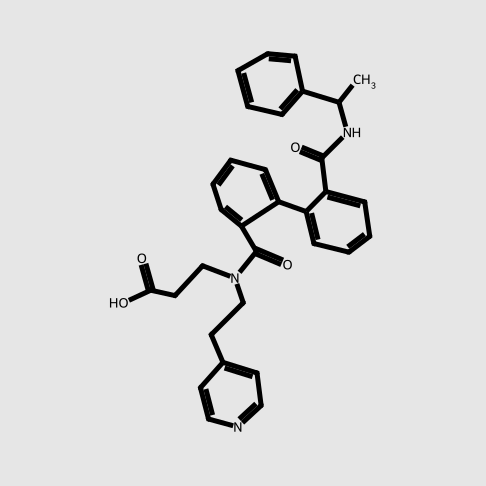 CC(NC(=O)c1ccccc1-c1ccccc1C(=O)N(CCC(=O)O)CCc1ccncc1)c1ccccc1